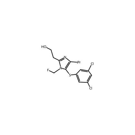 CC(C)c1nc(CCO)n(CF)c1Sc1cc(Cl)cc(Cl)c1